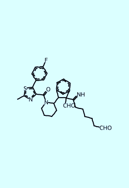 Cc1nc(C(=O)N2CCCCC2C2c3cccc(c3)C2(C=O)C(=N)CCCCCC=O)c(-c2ccc(F)cc2)s1